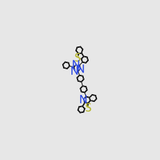 c1ccc(-c2nc(-c3ccc(-c4ccc(-c5nc6c7ccccc7sc6c6ccccc56)cc4)cc3)nc(-c3cccc4c3sc3ccccc34)n2)cc1